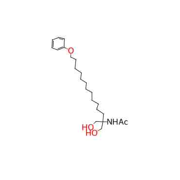 CC(=O)NC(CO)(CO)CCCCCCCCCCCCOc1ccccc1